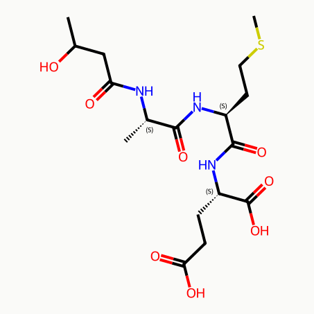 CSCC[C@H](NC(=O)[C@H](C)NC(=O)CC(C)O)C(=O)N[C@@H](CCC(=O)O)C(=O)O